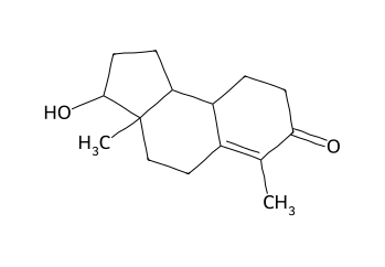 CC1=C2CCC3(C)C(O)CCC3C2CCC1=O